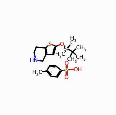 CC(C)(C)[Si](C)(C)Oc1cc2c(s1)CCNC2.Cc1ccc(S(=O)(=O)O)cc1